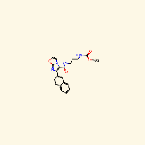 CC(C)(C)OC(=O)NCCCNC(=O)c1c(-c2ccc3ccccc3c2)nc2occn12